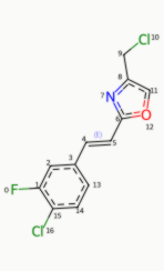 Fc1cc(/C=C/c2nc(CCl)co2)ccc1Cl